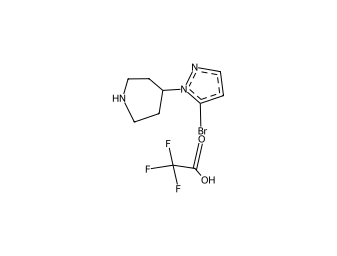 Brc1ccnn1C1CCNCC1.O=C(O)C(F)(F)F